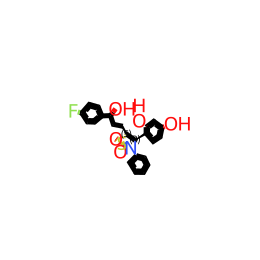 O=S1(=O)[C@@H](CCC(O)c2ccc(F)cc2)[C@@H](c2ccc(O)cc2O)N1c1ccccc1